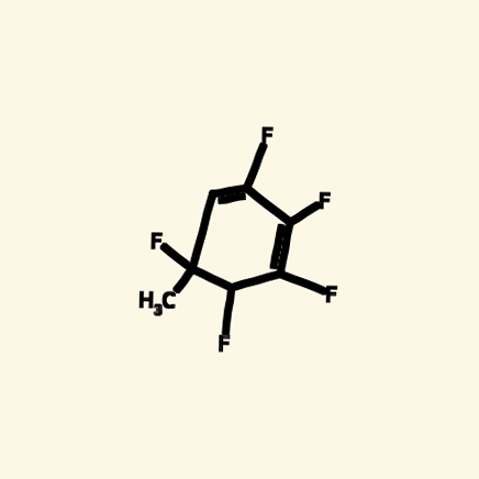 CC1(F)C=C(F)C(F)=C(F)C1F